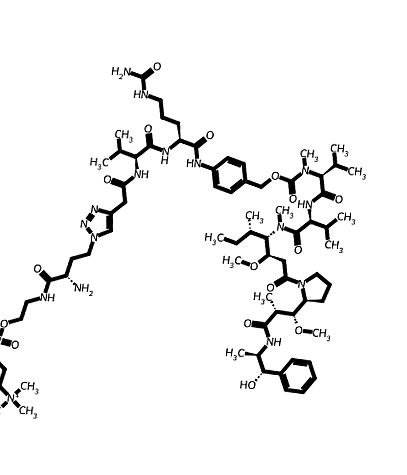 CC[C@H](C)[C@@H]([C@@H](CC(=O)N1CCC[C@H]1[C@H](OC)[C@@H](C)C(=O)N[C@H](C)[C@@H](O)c1ccccc1)OC)N(C)C(=O)[C@@H](NC(=O)[C@H](C(C)C)N(C)C(=O)OCc1ccc(NC(=O)[C@H](CCCNC(N)=O)NC(=O)[C@@H](NC(=O)Cc2cn(CC[C@H](N)C(=O)NCCOP(=O)([O-])OCC[N+](C)(C)C)nn2)C(C)C)cc1)C(C)C